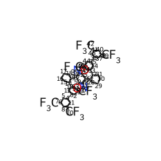 FC(F)(F)c1cc(-c2cc(C(F)(F)F)cc(C(F)(F)F)c2)cc(-c2ccccc2-c2c3ncoc3c(-c3ccccc3-c3cc(-c4cc(C(F)(F)F)cc(C(F)(F)F)c4)cc(C(F)(F)F)c3)c3ncoc23)c1